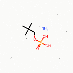 CC(C)(C)COP(=O)(O)O.N